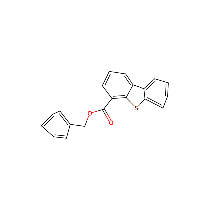 O=C(OCc1ccccc1)c1cccc2c1sc1ccccc12